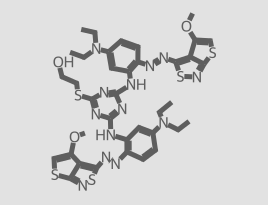 CCN(CC)c1ccc(/N=N/c2snc3scc(OC)c23)c(Nc2nc(Nc3cc(N(CC)CC)ccc3/N=N/c3snc4scc(OC)c34)nc(SCCO)n2)c1